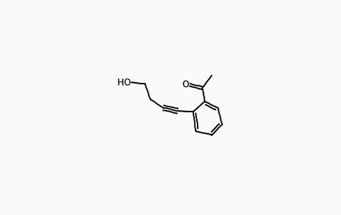 CC(=O)c1ccccc1C#CCCO